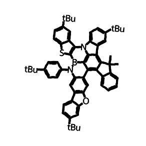 CC(C)(C)c1ccc(N2B3c4sc5ccc(C(C)(C)C)cc5c4-n4c5ccc(C(C)(C)C)cc5c5c6c(c(c3c54)-c3cc4oc5cc(C(C)(C)C)ccc5c4cc32)-c2ccccc2C6(C)C)cc1